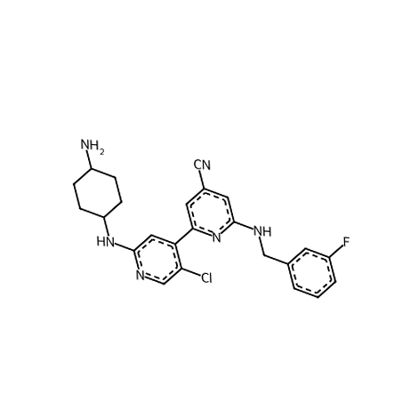 N#Cc1cc(NCc2cccc(F)c2)nc(-c2cc(NC3CCC(N)CC3)ncc2Cl)c1